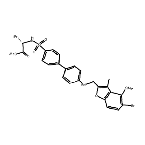 COC(=O)[C@@H](NS(=O)(=O)c1ccc(-c2ccc(NCc3oc4ccc(Br)c(OC)c4c3C)cc2)cc1)C(C)C